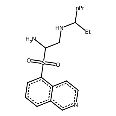 CCCC(CC)NCC(N)S(=O)(=O)c1cccc2cnccc12